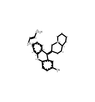 N#Cc1ccc2c(c1)/C(=C1\CCC3CCCCN3C1)c1ccccc1S2.O=C(O)/C=C/C(=O)O